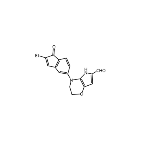 CCC1=Cc2cc(N3CCOc4cc(C=O)[nH]c43)ccc2C1=O